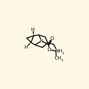 CCOC(=O)N1C2CC(CN)CC1[C@@H]1C[C@H]21